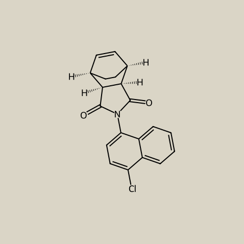 O=C1[C@@H]2[C@H](C(=O)N1c1ccc(Cl)c3ccccc13)[C@@H]1C=C[C@H]2CC1